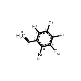 C=Cc1c(F)c(F)c(F)c(F)c1Br